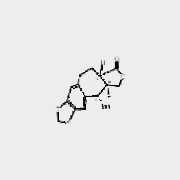 O=C1OC[C@H]2[C@@H]1CCc1cc3c(cc1[C@H]2O)OCO3